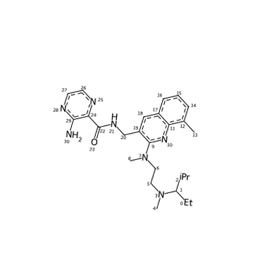 CCC(C(C)C)N(C)CCN(C)c1nc2c(C)cccc2cc1CNC(=O)c1nccnc1N